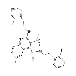 Cc1ccc2nc(NCCc3ccccc3F)c([N+](=O)[O-])c(C(=O)NCCc3ccccc3F)c2c1